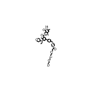 CCN(c1cc(-c2ccc(CN3CCN(C(=O)CCOCCOCCOCCOC)CC3)cc2)cc(C(=O)NCc2c(C)cc(C)[nH]c2=O)c1C)C1CCOCC1